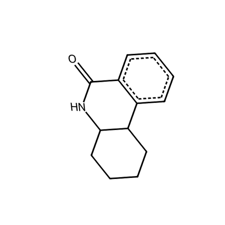 O=C1NC2CCCCC2c2ccccc21